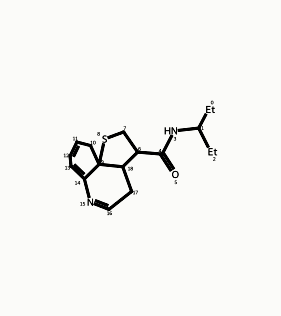 CCC(CC)NC(=O)C1CSC23CC=CC=C2N=CCC13